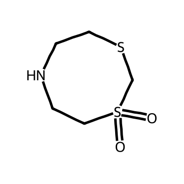 O=S1(=O)CCNCCSC1